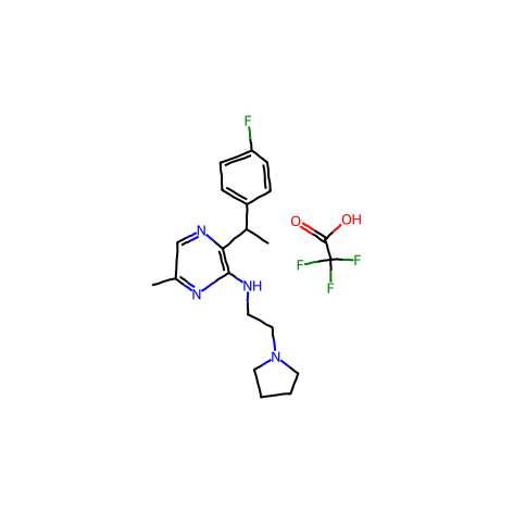 Cc1cnc(C(C)c2ccc(F)cc2)c(NCCN2CCCC2)n1.O=C(O)C(F)(F)F